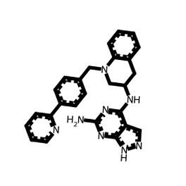 Nc1nc(NC2Cc3ccccc3N(Cc3ccc(-c4ccccn4)cc3)C2)c2cn[nH]c2n1